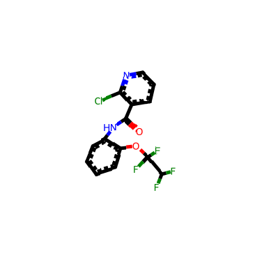 O=C(Nc1ccccc1OC(F)(F)C(F)F)c1cccnc1Cl